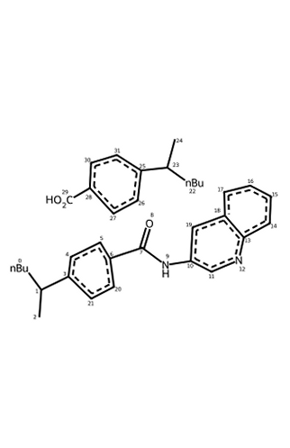 CCCCC(C)c1ccc(C(=O)Nc2cnc3ccccc3c2)cc1.CCCCC(C)c1ccc(C(=O)O)cc1